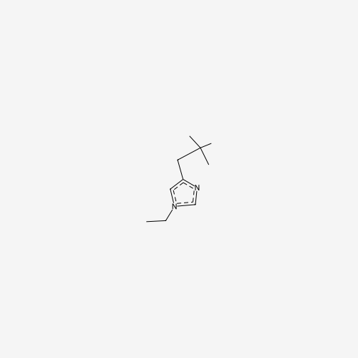 CCn1cnc(CC(C)(C)C)c1